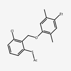 CCc1cc(C)c(OCc2c(Cl)cccc2SC(C)=O)cc1C